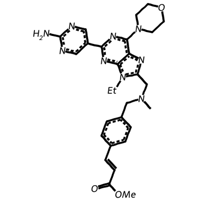 CCn1c(CN(C)Cc2ccc(/C=C/C(=O)OC)cc2)nc2c(N3CCOCC3)nc(-c3cnc(N)nc3)nc21